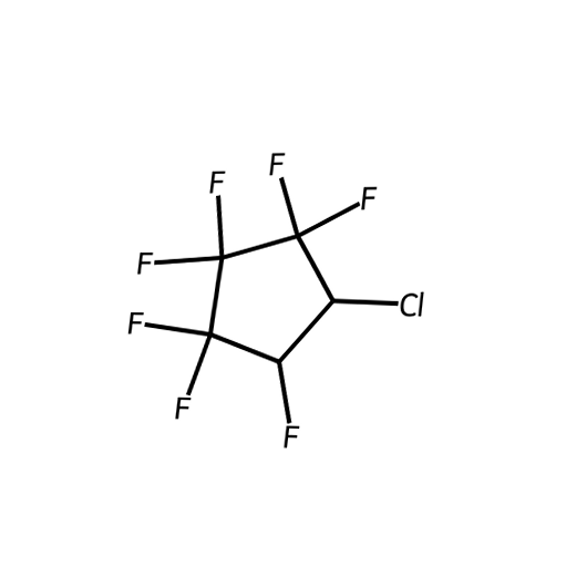 FC1C(Cl)C(F)(F)C(F)(F)C1(F)F